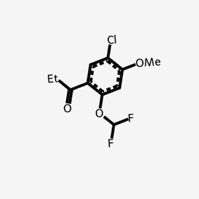 CCC(=O)c1cc(Cl)c(OC)cc1OC(F)F